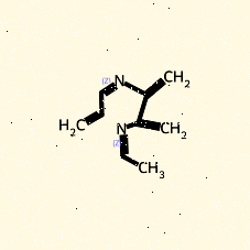 C=C/C=N\C(=C)C(=C)/N=C\C